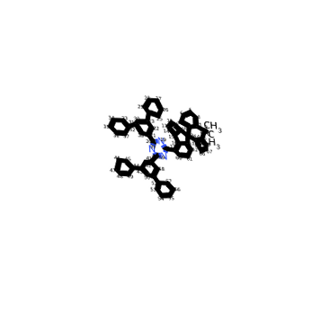 CC1(C)c2ccccc2C2(c3ccccc3-c3c(-c4nc(-c5cc(-c6ccccc6)cc(-c6ccccc6)c5)nc(-c5cc(-c6ccccc6)cc(-c6ccccc6)c5)n4)cccc32)c2ccccc21